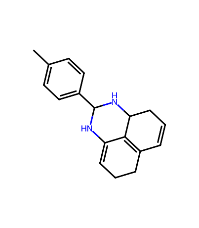 Cc1ccc(C2NC3=CCCC4=C3C(CC=C4)N2)cc1